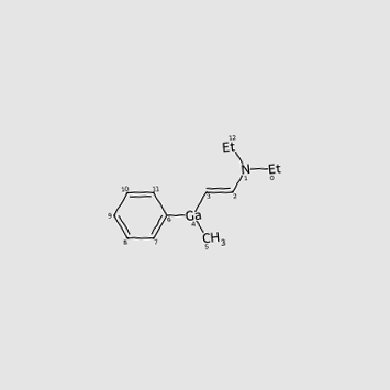 CCN(C=[CH][Ga]([CH3])[c]1ccccc1)CC